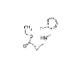 CCOC(=O)C1CC1CNCc1ccccc1F